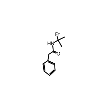 CCC(C)(C)NC(=O)Cc1ccccc1